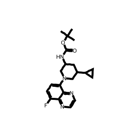 CC(C)(C)OC(=O)NC1CC(C2CC2)CN(c2ccc(F)c3nccnc23)C1